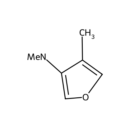 CNc1cocc1C